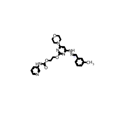 Cc1cccc(/C=N/Nc2cc(N3CCOCC3)nc(OCCOC(=O)Nc3cccnc3)n2)c1